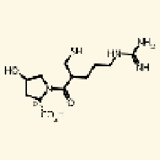 N=C(N)NCCCC(CS)C(=O)N1CC(O)C[C@H]1C(=O)O